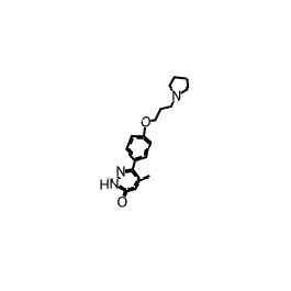 Cc1cc(=O)[nH]nc1-c1ccc(OCCCN2CCCC2)cc1